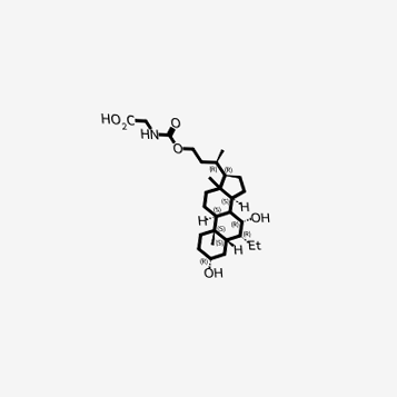 CC[C@H]1[C@@H](O)C2[C@@H]3CC[C@H]([C@H](C)CCOC(=O)NCC(=O)O)C3(C)CC[C@@H]2[C@@]2(C)CC[C@@H](O)C[C@@H]12